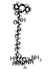 CC(C)C(NC(=O)CCOCCOCCOCCOCCC(=O)NCCC(=O)N1Cc2ccccc2C#Cc2ccccc21)C(=O)N[C@@H](C)C(=O)NCCN